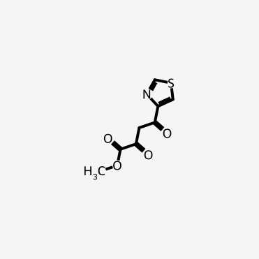 COC(=O)C(=O)CC(=O)c1cscn1